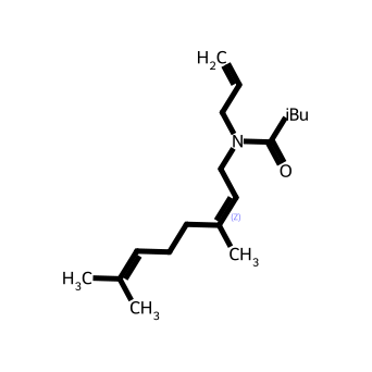 C=CCN(C/C=C(/C)CCC=C(C)C)C(=O)C(C)CC